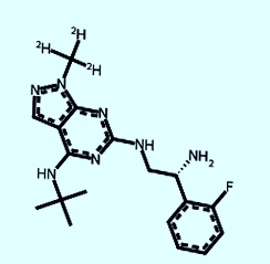 [2H]C([2H])([2H])n1ncc2c(NC(C)(C)C)nc(NC[C@H](N)c3ccccc3F)nc21